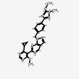 COc1ncnc(C2CC2)c1-c1ncc2cnn(Cc3ccc(-c4nc(OC)n(C)n4)cc3)c2n1